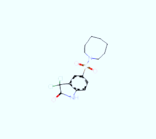 O=C1Nc2ccc(S(=O)(=O)N3CCCCCCC3)cc2C1(Cl)Cl